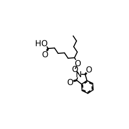 CCCCC(CCCCC(=O)O)OON1C(=O)c2ccccc2C1=O